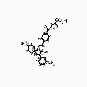 CC(CNC(=O)c1ccc(CCN2C(=O)C(c3cccc(C(F)(F)F)c3)=NC23CCC(C(C)(C)C)CC3)cc1)C(=O)O